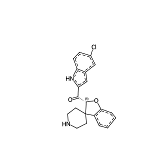 O=C(c1cc2cc(Cl)ccc2[nH]1)[C@@H]1Oc2ccccc2C12CCNCC2